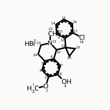 Br.COc1cc2c(cc1O)C(C1(c3ccccc3Cl)CC1)N(C)CC2